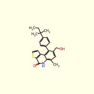 CCC(C)(C)c1ccc(-c2c(CO)cc(C)c3[nH]c(=O)c4sccc4c23)cc1